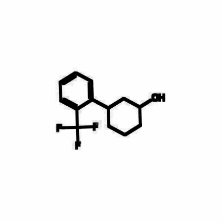 OC1CCCC(c2ccccc2C(F)(F)F)C1